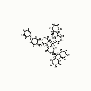 c1ccc(-c2ccc3oc4c(ccc5c4c4ccc(-n6c7ccccc7c7ccccc76)cc4n5-c4cccc5c4sc4ccccc45)c3c2)cc1